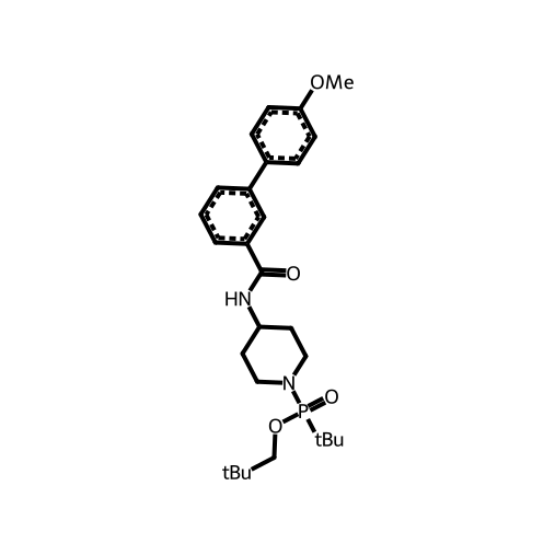 COc1ccc(-c2cccc(C(=O)NC3CCN(P(=O)(OCC(C)(C)C)C(C)(C)C)CC3)c2)cc1